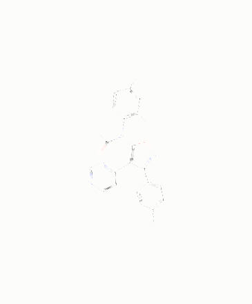 CC(=O)N(c1ccc(F)cc1Cl)c1onc(-c2ccc(Cl)cc2)c1-c1ccncn1